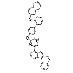 c1ccc2c(c1)ccc1sc3c(-c4ccc5oc6nc(-c7cccc8c7sc7ccc9ccccc9c78)cnc6c5c4)cccc3c12